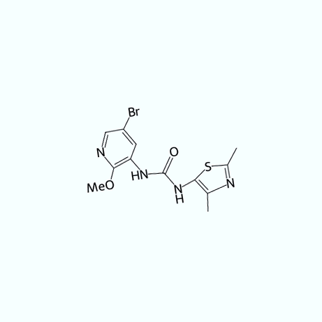 COc1ncc(Br)cc1NC(=O)Nc1sc(C)nc1C